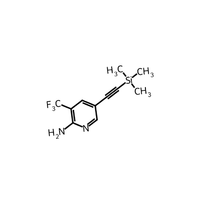 C[Si](C)(C)C#Cc1cnc(N)c(C(F)(F)F)c1